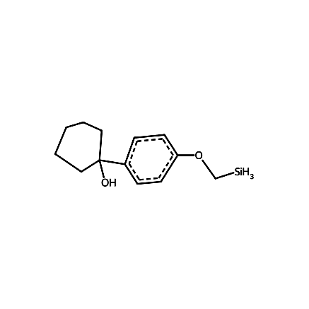 OC1(c2ccc(OC[SiH3])cc2)CCCCC1